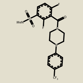 CNS(=O)(=O)c1ccc(F)c(C(=O)N2CCN(c3ccc(C(F)(F)F)cc3)CC2)c1F